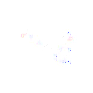 CC(=O)N1CCN(c2ccc(Nc3nc(-c4ccno4)nc4cn[nH]c34)cc2)CC1